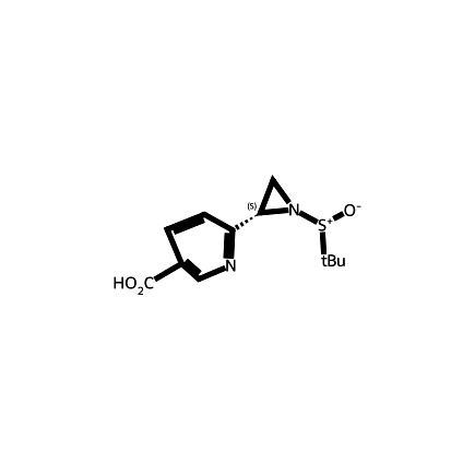 CC(C)(C)[S+]([O-])N1C[C@H]1c1ccc(C(=O)O)cn1